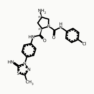 Cc1nn(-c2ccc(NC(=O)[C@H]3C[C@@H](N)CN3C(=O)Nc3ccc(Cl)cc3)cc2)c(=N)s1